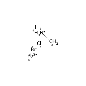 C[NH3+].[Br-].[Cl-].[I-].[Pb+2]